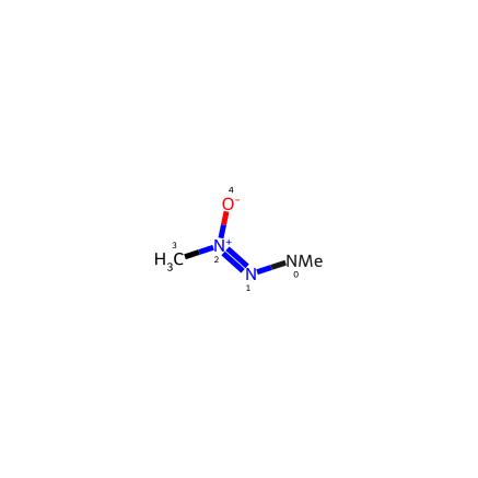 CNN=[N+](C)[O-]